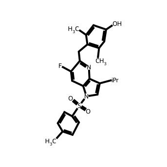 Cc1ccc(S(=O)(=O)n2cc(C(C)C)c3nc(Cc4c(C)cc(O)cc4C)c(F)cc32)cc1